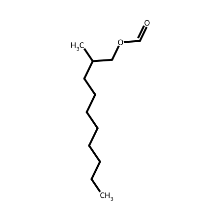 CCCCCCCCC(C)COC=O